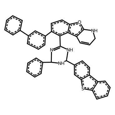 C1=Cc2c(oc3ccc(-c4cccc(-c5ccccc5)c4)c(C4=NC(c5ccccc5)NC(c5ccc6c(c5)sc5ccccc56)N4)c23)NC1